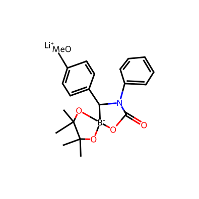 COc1ccc(C2N(c3ccccc3)C(=O)O[B-]23OC(C)(C)C(C)(C)O3)cc1.[Li+]